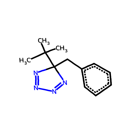 CC(C)(C)C1(Cc2ccccc2)N=NN=N1